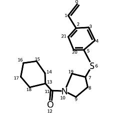 C=Cc1ccc(SC2CCN(C(=O)C3CCCCC3)C2)cc1